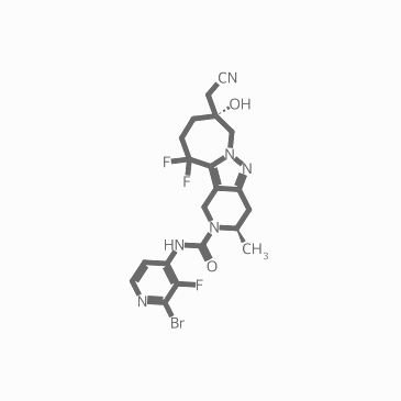 C[C@@H]1Cc2nn3c(c2CN1C(=O)Nc1ccnc(Br)c1F)C(F)(F)CC[C@@](O)(CC#N)C3